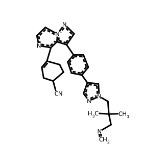 C=NCC(C)(C)Cn1cc(-c2ccc(-c3cnn4ccnc(C5=CCC(C#N)CC5)c34)cc2)cn1